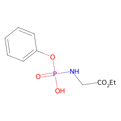 CCOC(=O)CNP(=O)(O)Oc1ccccc1